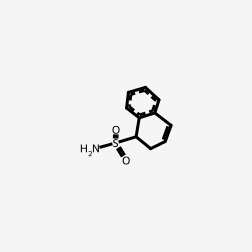 NS(=O)(=O)C1CC=Cc2ccccc21